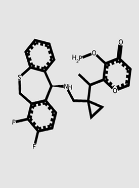 CC(c1occc(=O)c1OP)C1(CN[C@@H]2c3ccccc3SCc3c2ccc(F)c3F)CC1